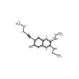 CCNc1nc2cc(Cl)c(C#CCOC)cc2nc1NCC